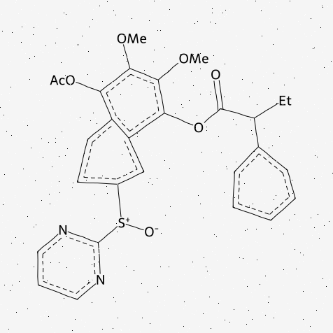 CCC(C(=O)Oc1c(OC)c(OC)c(OC(C)=O)c2ccc([S+]([O-])c3ncccn3)cc12)c1ccccc1